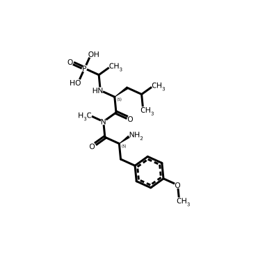 COc1ccc(C[C@H](N)C(=O)N(C)C(=O)[C@H](CC(C)C)NC(C)P(=O)(O)O)cc1